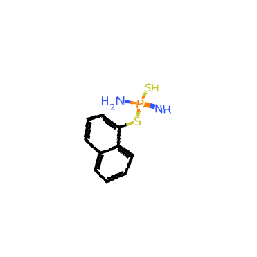 N=P(N)(S)Sc1cccc2ccccc12